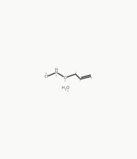 C=CCONCl.O